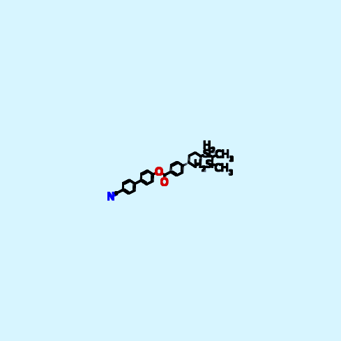 C[SiH2]C(C)[SiH2][C@H]1CC[C@H](c2ccc(C(=O)Oc3ccc(-c4ccc(C#N)cc4)cc3)cc2)CC1